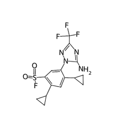 Nc1nc(C(F)(F)F)nn1-c1cc(S(=O)(=O)F)c(C2CC2)cc1C1CC1